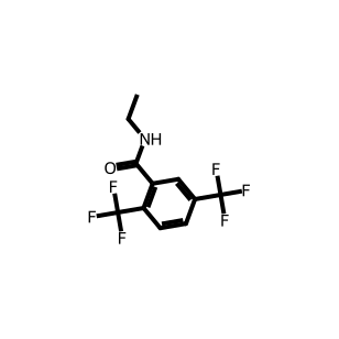 CCNC(=O)c1cc(C(F)(F)F)ccc1C(F)(F)F